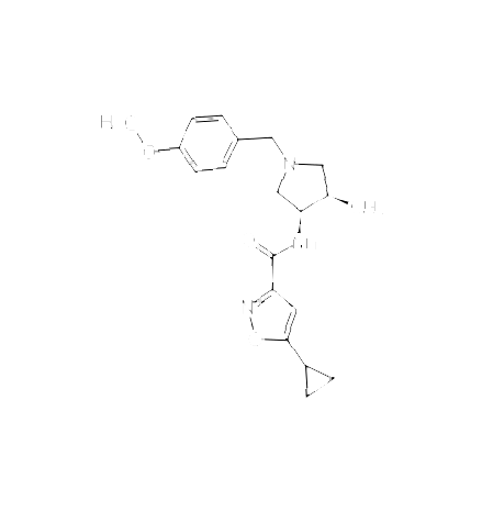 COc1ccc(CN2C[C@@H](C)[C@@H](NC(=O)c3cc(C4CC4)on3)C2)cc1